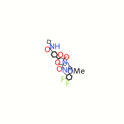 COc1ccc(F)c(F)c1CNC(=O)C1(C)COc2c(oc3cc(C(=O)NC4CCC4)ccc23)C(=O)N1CC1CC1